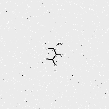 CCC(Cl)[C@H](O)[C@H](C)[C]=O